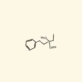 CO[Si](CI)(CCc1ccccc1)OC